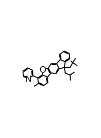 Cc1ccc2c(oc3cc4c(cc32)C(CC(C)C)(CC(C)(C)C)c2ccccc2-4)c1-c1ccccn1